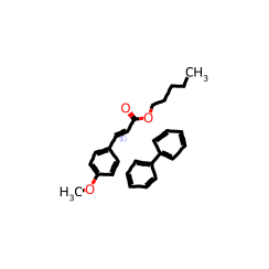 CCCCCOC(=O)/C=C/c1ccc(OC)cc1.c1ccc(-c2ccccc2)cc1